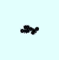 c1ccc(-c2nc(-c3ccc(-c4ccc5ccccc5c4-c4cccc5nc(-c6ccccc6)sc45)cc3)c3ccccc3n2)cc1